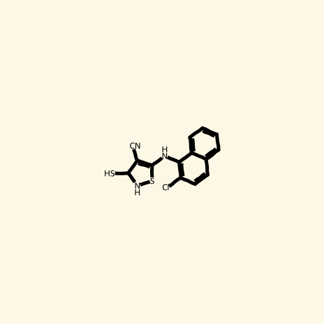 N#CC1=C(Nc2c(Cl)ccc3ccccc23)SNC1S